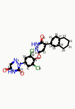 O=c1cnn(-c2cc(Cl)c(Oc3cc(-c4ccc5c(c4)CCCC5)c(=O)[nH]n3)c(Cl)c2)c(=O)[nH]1